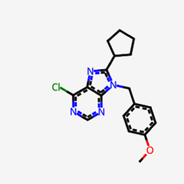 COc1ccc(Cn2c(C3CCCC3)nc3c(Cl)ncnc32)cc1